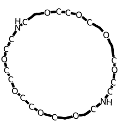 C1COCCOCCOCCOCCNCCOCCOCCOCCOCCN1